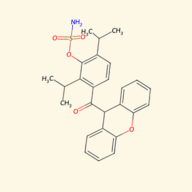 CC(C)c1ccc(C(=O)C2c3ccccc3Oc3ccccc32)c(C(C)C)c1OS(N)(=O)=O